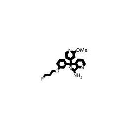 COc1cc(C2(c3cccc(OCCCF)c3)N=C(N)c3ncccc32)ccn1